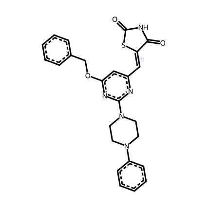 O=C1NC(=O)/C(=C/c2cc(OCc3ccccc3)nc(N3CCN(c4ccccc4)CC3)n2)S1